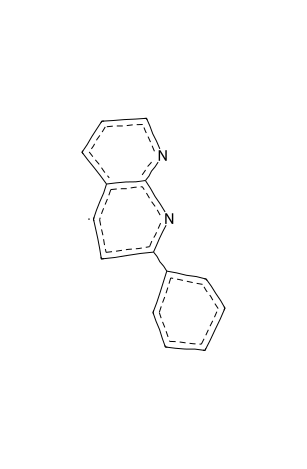 [c]1cc(-c2ccccc2)nc2ncccc12